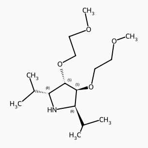 COCCO[C@@H]1[C@@H](OCCOC)[C@@H](C(C)C)N[C@@H]1C(C)C